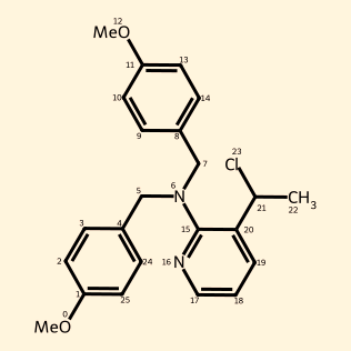 COc1ccc(CN(Cc2ccc(OC)cc2)c2ncccc2C(C)Cl)cc1